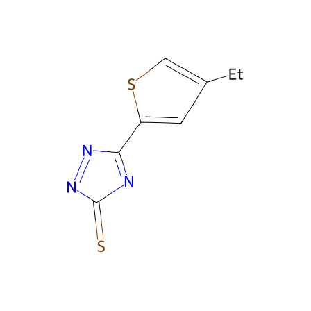 CCc1csc(C2=NC(=S)N=N2)c1